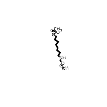 CS(=O)(=O)OCCCCCCCCNCOOO